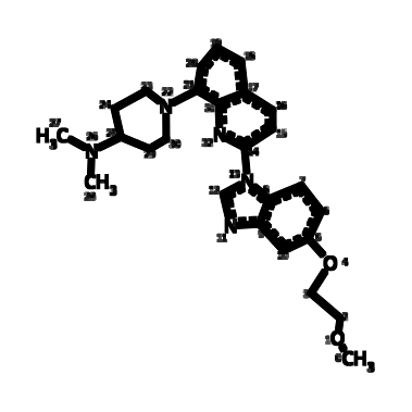 COCCOc1ccc2c(c1)ncn2-c1ccc2cccc(N3CCC(N(C)C)CC3)c2n1